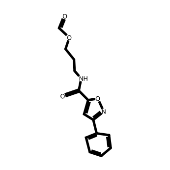 O=COCCCNC(=O)c1cc(-c2ccccc2)no1